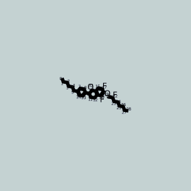 CCCCCCc1ccc(C2CCc3c(cc(F)c(OCC(F)CCCCCC)c3F)C2=O)cc1